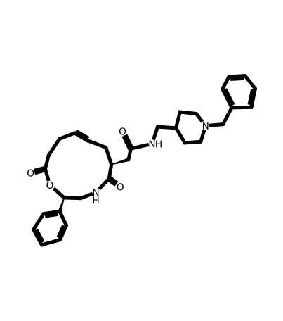 O=C(C[C@@H]1C/C=C/CCC(=O)O[C@H](c2ccccc2)CNC1=O)NCC1CCN(Cc2ccccc2)CC1